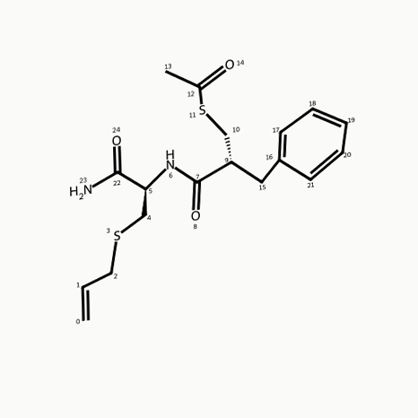 C=CCSC[C@H](NC(=O)[C@H](CSC(C)=O)Cc1ccccc1)C(N)=O